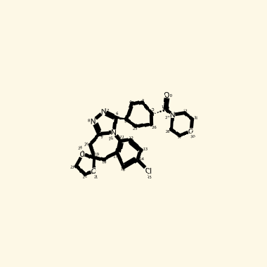 O=C([C@H]1CC[C@H](c2nnc3n2-c2ccc(Cl)cc2CC2(C3)OCCO2)CC1)N1CCOCC1